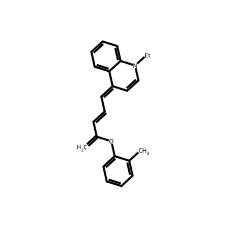 C=C(C=CC=C1C=CN(CC)c2ccccc21)Oc1ccccc1C